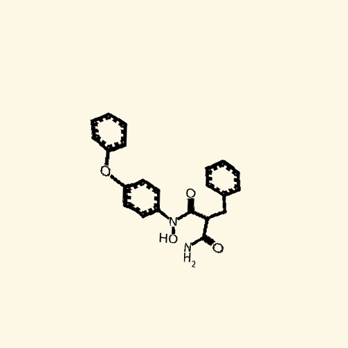 NC(=O)C(Cc1ccccc1)C(=O)N(O)c1ccc(Oc2ccccc2)cc1